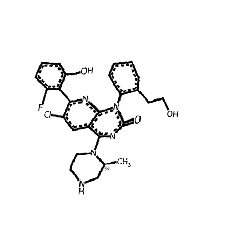 C[C@H]1CNCCN1c1nc(=O)n(-c2ccccc2CCO)c2nc(-c3c(O)cccc3F)c(Cl)cc12